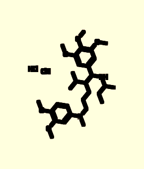 CCC(C)NC(c1cc(OC)c(OC)c(OC)c1)C(CCCN(C)c1ccc(OC)c(OC)c1)C(C)C.Cl.Cl